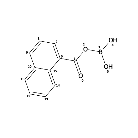 O=C(OB(O)O)c1cccc2ccccc12